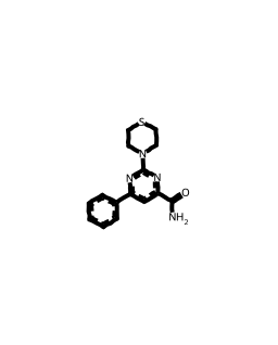 NC(=O)c1cc(-c2ccccc2)nc(N2CCSCC2)n1